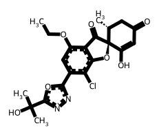 CCOc1cc(-c2nnc(C(C)(C)O)o2)c(Cl)c2c1C(=O)[C@@]1(O2)C(O)=CC(=O)C[C@H]1C